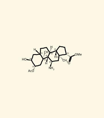 COC(=O)[C@H]1CC[C@H]2[C@@H]3CC[C@H]4C[C@H](O)[C@@H](OC(C)=O)C[C@]4(C)[C@H]3[C@H](N)C[C@]12C